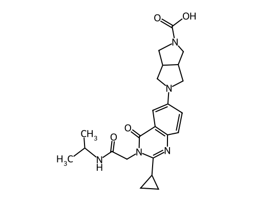 CC(C)NC(=O)Cn1c(C2CC2)nc2ccc(N3CC4CN(C(=O)O)CC4C3)cc2c1=O